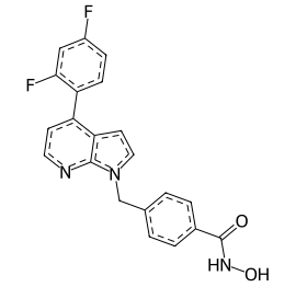 O=C(NO)c1ccc(Cn2ccc3c(-c4ccc(F)cc4F)ccnc32)cc1